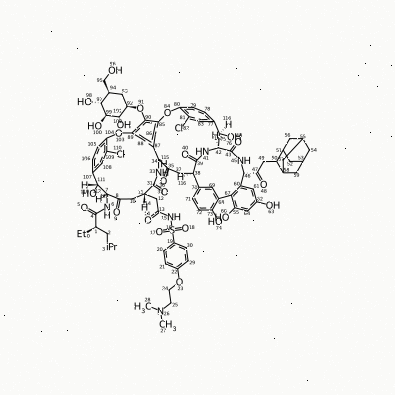 CC[C@H](CC(C)C)C(=O)N[C@H]1C(=O)C[C@@H](CC(=O)NS(=O)(=O)c2ccc(OCCN(C)C)cc2)C(=O)N[C@H]2C(=O)C[C@H]3C(=O)N[C@H](C(=O)N[C@H](C(=O)CC4C5CC6CC(C5)CC4C6)c4cc(O)cc(O)c4-c4cc3ccc4O)[C@H](O)c3ccc(c(Cl)c3)Oc3cc2cc(c3O[C@@H]2C[C@H](CO)[C@@H](O)[C@H](O)[C@H]2O)Oc2ccc(cc2Cl)[C@H]1O